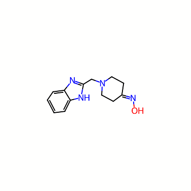 ON=C1CCN(Cc2nc3ccccc3[nH]2)CC1